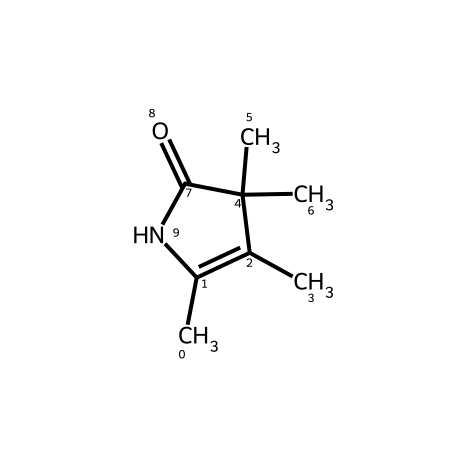 CC1=C(C)C(C)(C)C(=O)N1